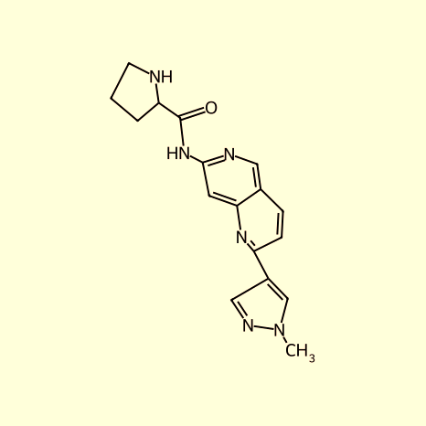 Cn1cc(-c2ccc3cnc(NC(=O)C4CCCN4)cc3n2)cn1